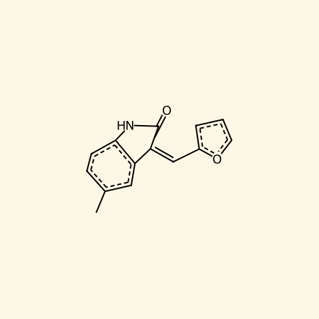 Cc1ccc2c(c1)/C(=C/c1ccco1)C(=O)N2